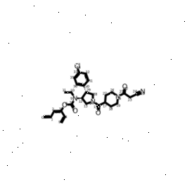 C=C/C=C(\C=C)OC(=O)N(CC)[C@@H]1CN(C(=O)C2CCN(C(=O)CC#N)CC2)C[C@H]1c1ccc(Cl)cc1